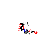 Cc1coc2c(=O)cc(N(C)CCOCCO)oc12